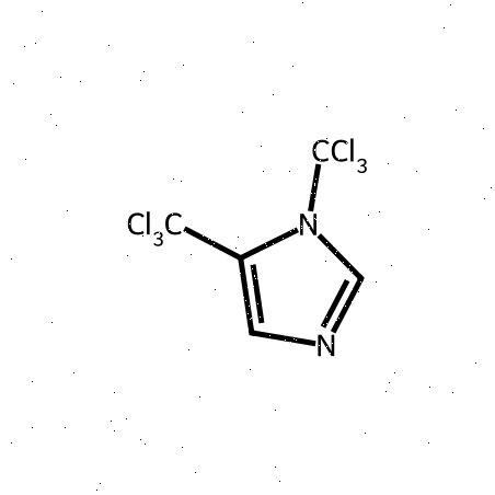 ClC(Cl)(Cl)c1cncn1C(Cl)(Cl)Cl